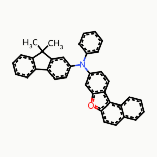 CC1(C)c2ccccc2-c2ccc(N(c3ccccc3)c3ccc4c(c3)oc3ccc5ccccc5c34)cc21